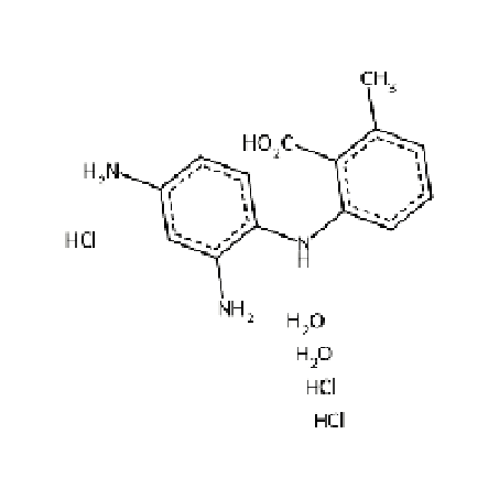 Cc1cccc(Nc2ccc(N)cc2N)c1C(=O)O.Cl.Cl.Cl.O.O